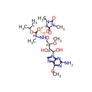 COc1nc(N)nc2c1ncn2C(O)[C@H](O)[C@@H](COP(=O)(N[C@H](C)C(=O)OC(C)C)SC[C@H]1C(=O)N(C)C(=O)N1C)OC